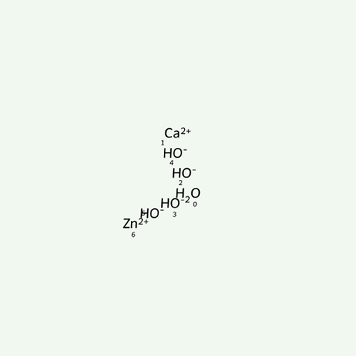 O.[Ca+2].[OH-].[OH-].[OH-].[OH-].[Zn+2]